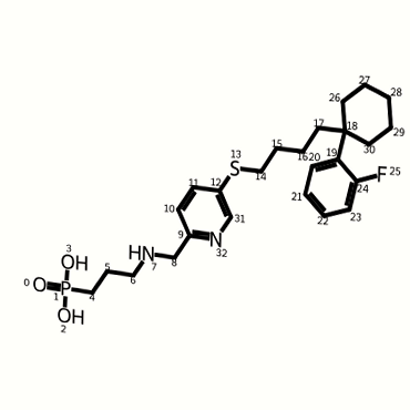 O=P(O)(O)CCCNCc1ccc(SCCCCC2(c3ccccc3F)CCCCC2)cn1